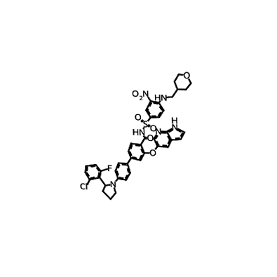 O=C(NS(=O)(=O)c1ccc(NCC2CCOCC2)c([N+](=O)[O-])c1)c1ccc(-c2ccc(N3CCCC3c3c(F)cccc3Cl)cc2)cc1Oc1cnc2[nH]ccc2c1